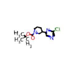 CC(C)(C)OC(=O)N1CCCC(c2cncc(Cl)n2)C1